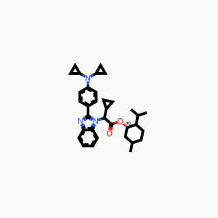 CC1CCC(C(C)C)[C@H](OC(=O)C(C2CC2)n2c(-c3ccc(N(C4CC4)C4CC4)cc3)nc3ccccc32)C1